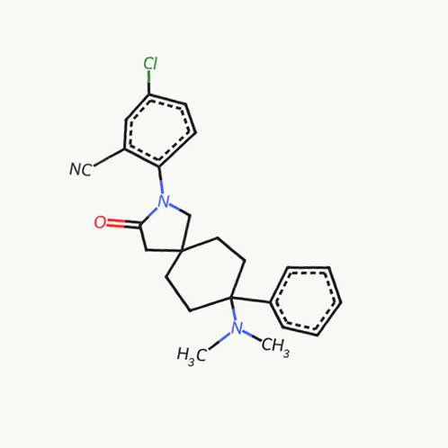 CN(C)C1(c2ccccc2)CCC2(CC1)CC(=O)N(c1ccc(Cl)cc1C#N)C2